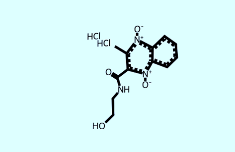 Cc1c(C(=O)NCCO)[n+]([O-])c2ccccc2[n+]1[O-].Cl.Cl